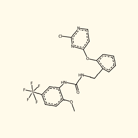 COc1ccc(S(F)(F)(F)(F)F)cc1NC(=O)NCc1ccccc1Oc1ccnc(Cl)n1